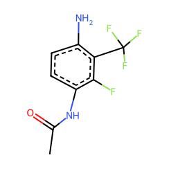 CC(=O)Nc1ccc(N)c(C(F)(F)F)c1F